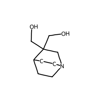 OCC1(CO)CN2CCC1CC2